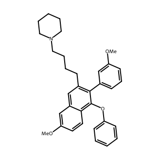 COc1cccc(-c2c(CCCCN3CCCCC3)cc3cc(OC)ccc3c2Oc2ccccc2)c1